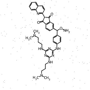 CN(C)CCCNc1nc(NCCCN(C)C)nc(Nc2ccc(C(ON)c3ccc4c(c3)C(=O)C(c3ccc5ccccc5n3)C4=O)cc2)n1